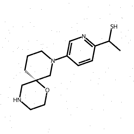 CC(S)c1ccc(N2CCC[C@]3(CNCCO3)C2)cn1